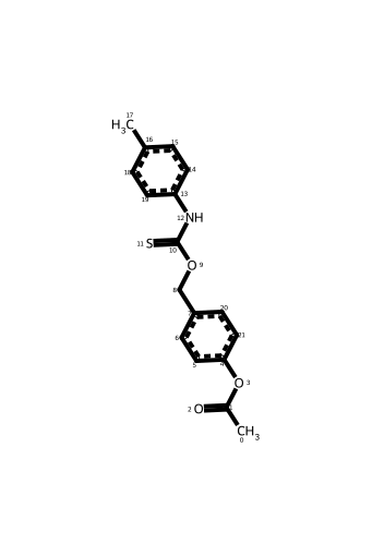 CC(=O)Oc1ccc(COC(=S)Nc2ccc(C)cc2)cc1